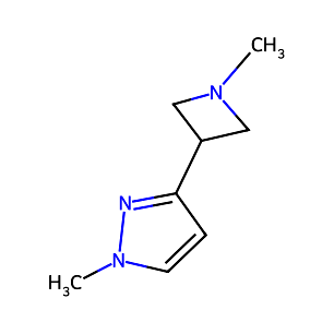 CN1CC(c2ccn(C)n2)C1